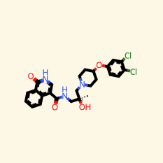 C[C@](O)(CNC(=O)c1c[nH]c(=O)c2ccccc12)CN1CCC(Oc2ccc(Cl)c(Cl)c2)CC1